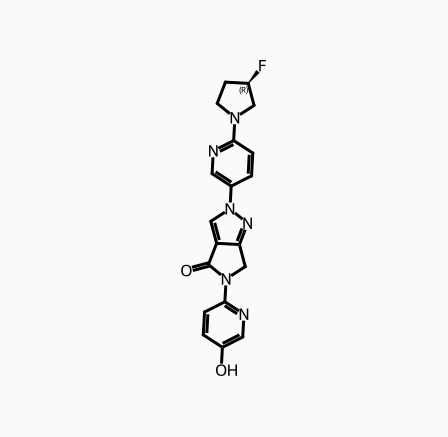 O=C1c2cn(-c3ccc(N4CC[C@@H](F)C4)nc3)nc2CN1c1ccc(O)cn1